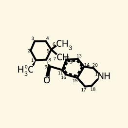 C[C@H]1CCCC(C)(C)[C@@H]1C(=O)c1ccc2c(c1)CCNC2